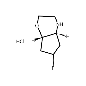 Cl.FC1C[C@@H]2NCCO[C@H]2C1